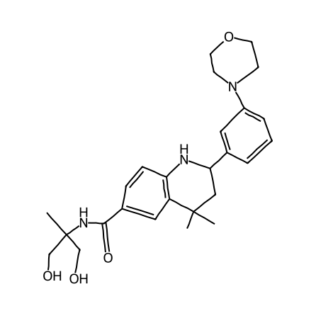 CC(CO)(CO)NC(=O)c1ccc2c(c1)C(C)(C)CC(c1cccc(N3CCOCC3)c1)N2